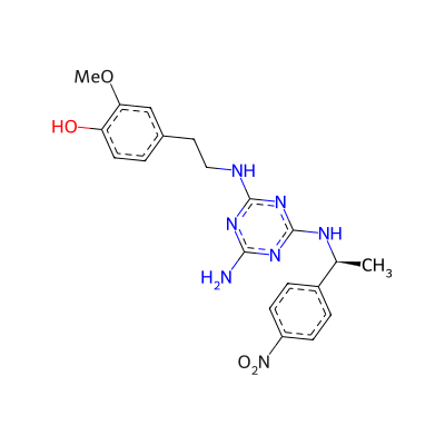 COc1cc(CCNc2nc(N)nc(N[C@@H](C)c3ccc([N+](=O)[O-])cc3)n2)ccc1O